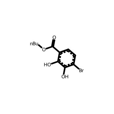 CCCCOC(=O)c1ccc(Br)c(O)c1O